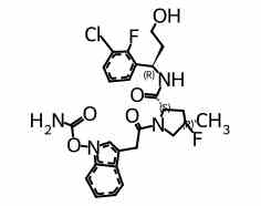 C[C@@]1(F)C[C@@H](C(=O)N[C@H](CCO)c2cccc(Cl)c2F)N(C(=O)Cc2cn(OC(N)=O)c3ccccc23)C1